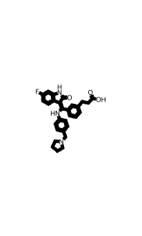 O=C(O)CCc1cccc(C(Nc2ccc(CN3CCCC3)cc2)=C2C(=O)Nc3cc(F)ccc32)c1